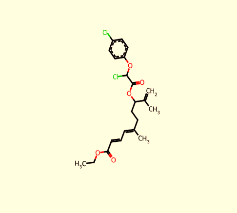 C=C(C)C(CCC(C)=CC=CC(=O)OCC)OC(=O)C(Cl)Oc1ccc(Cl)cc1